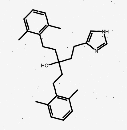 Cc1cccc(C)c1CCC(O)(CCc1c[nH]cn1)CCc1c(C)cccc1C